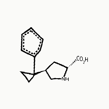 O=C(O)[C@H]1C[C@H](C2(c3ccccc3)CC2)CN1